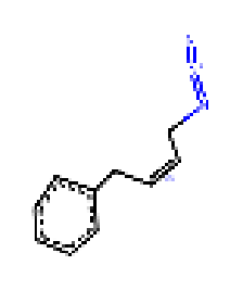 [N-]=[N+]=NC/C=C\Cc1ccccc1